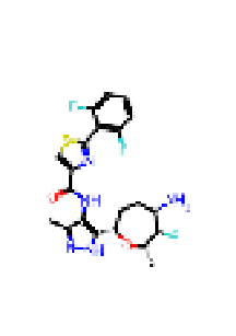 Cc1n[nH]c([C@@H]2CC[C@@H](N)[C@@H](F)[C@H](C)O2)c1NC(=O)c1csc(-c2c(F)cccc2F)n1